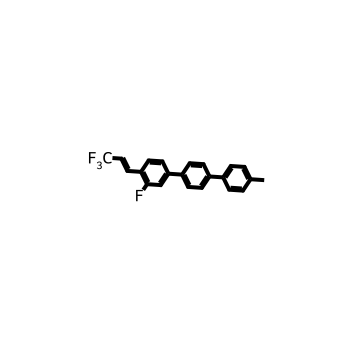 Cc1ccc(-c2ccc(-c3ccc(/C=C/C(F)(F)F)c(F)c3)cc2)cc1